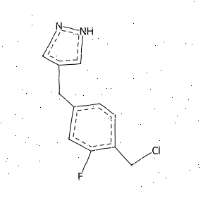 Fc1cc(Cc2cn[nH]c2)ccc1CCl